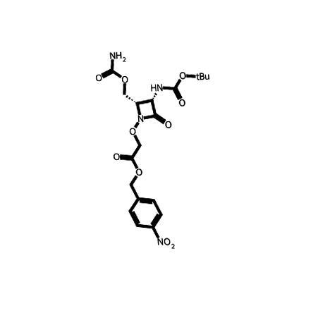 CC(C)(C)OC(=O)N[C@@H]1C(=O)N(OCC(=O)OCc2ccc([N+](=O)[O-])cc2)[C@@H]1COC(N)=O